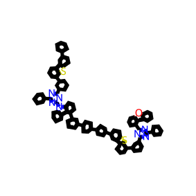 C1=CC(c2nc(-c3ccccc3)nc(-n3c4ccccc4c4c(-c5cccc(-c6ccc(-c7ccc(-c8ccc9sc%10c(-c%11cccc(-c%12nc(-c%13ccccc%13)nc(-c%13cccc%14oc%15ccccc%15c%13%14)n%12)c%11)cccc%10c9c8)cc7)cc6)c5)cccc43)n2)CC(c2cccc3c2sc2ccc(-c4ccccc4)cc23)=C1